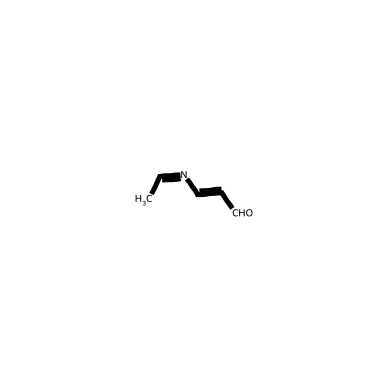 C/C=N\C=C\C=O